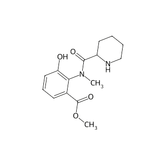 COC(=O)c1cccc(O)c1N(C)C(=O)C1CCCCN1